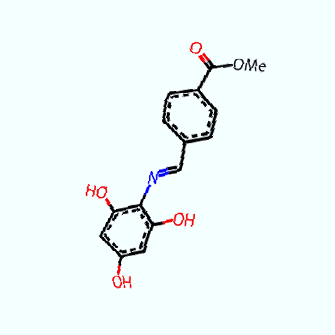 COC(=O)c1ccc(/C=N/c2c(O)cc(O)cc2O)cc1